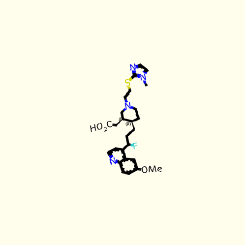 COc1ccc2nccc(C(F)CC[C@@H]3CCN(CCSc4nccn4C)C[C@@H]3CC(=O)O)c2c1